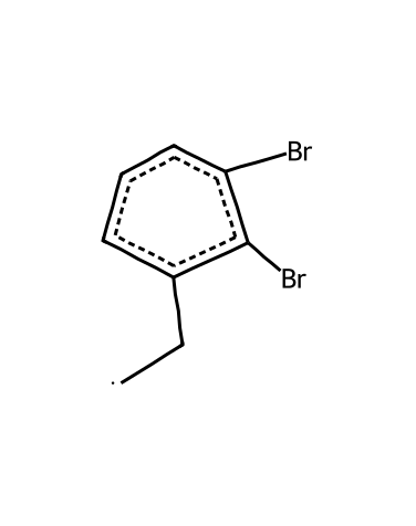 [CH2]Cc1cccc(Br)c1Br